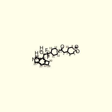 O=C(CC1CCS(=O)(=O)CC1)N1CCC(C(F)(F)[C@H](O)c2c3c(cc4cn[nH]c24)CC3)CC1